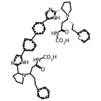 O=C(O)NC(=O)CC(CCc1ccccc1)N1CCCC1c1ncc(-c2ccc(-c3ccc(-c4cnc([C@@H]5CCCN5[C@H](CCc5ccccc5)CC(=O)NC(=O)O)[nH]4)cc3)cc2)[nH]1